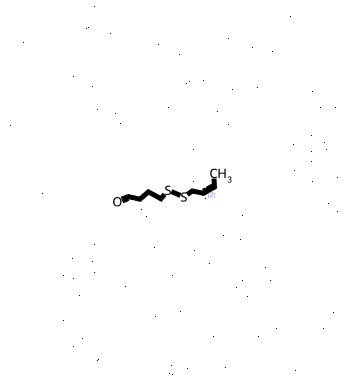 C/C=C\CSSCCCC=O